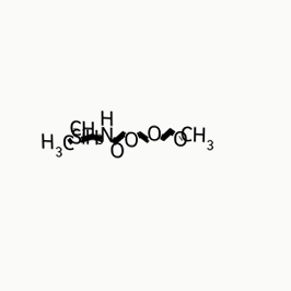 COCCOCCOCC(=O)NCCC[SiH](C)C